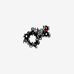 C[C@@H]1C[C@H]2C(=O)O[C@@H](C)[C@H](NC(=O)[C@H](Cc3cc(F)cc(F)c3)NC(=O)Nc3ccccn3)C(=O)N3C[C@H](O)C[C@H]3C(=O)N3CCCC[C@H]3C(=O)N[C@@H](C)C(=O)N2C1